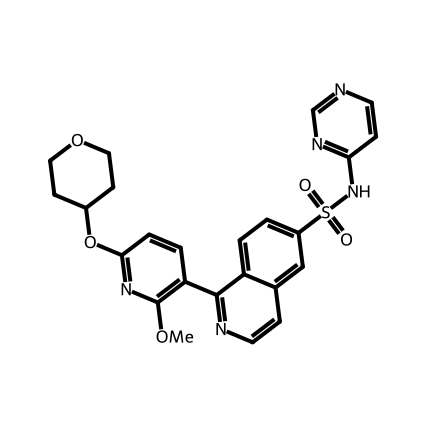 COc1nc(OC2CCOCC2)ccc1-c1nccc2cc(S(=O)(=O)Nc3ccncn3)ccc12